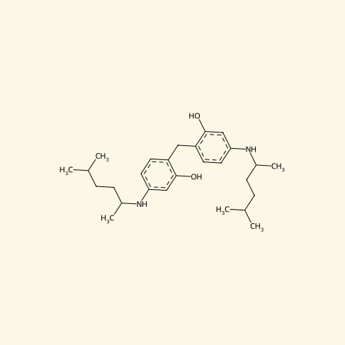 CC(C)CCC(C)Nc1ccc(Cc2ccc(NC(C)CCC(C)C)cc2O)c(O)c1